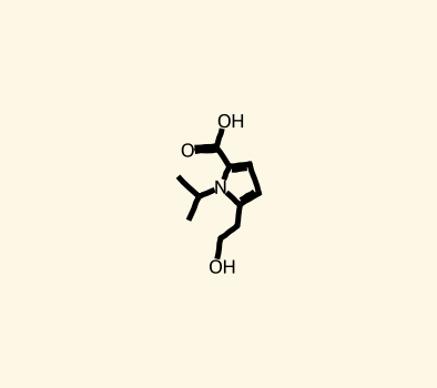 CC(C)n1c(CCO)ccc1C(=O)O